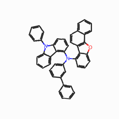 c1ccc(-c2cccc(N(c3cccc4oc5c6ccccc6ccc5c34)c3cccc4c3c3ccccc3n4-c3ccccc3)c2)cc1